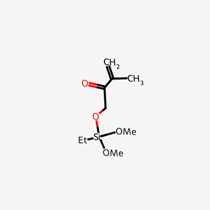 C=C(C)C(=O)CO[Si](CC)(OC)OC